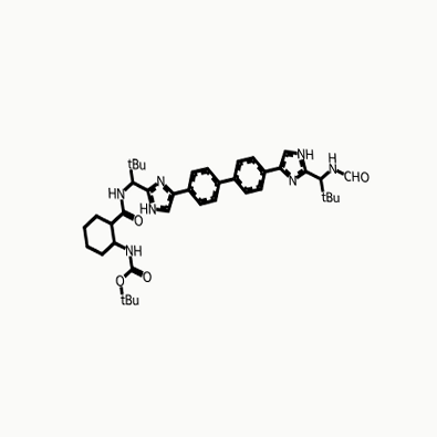 CC(C)(C)OC(=O)NC1CCCCC1C(=O)NC(c1nc(-c2ccc(-c3ccc(-c4c[nH]c(C(NC=O)C(C)(C)C)n4)cc3)cc2)c[nH]1)C(C)(C)C